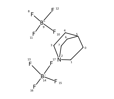 C1CN2CCC1CC2.F[B-](F)(F)F.F[B-](F)(F)F